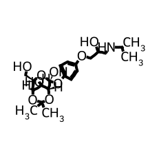 CC(C)NCC(O)COc1ccc(O[C@]2(O)O[C@H](CO)[C@H]3OC(C)(C)O[C@@H]2[C@H]3O)cc1